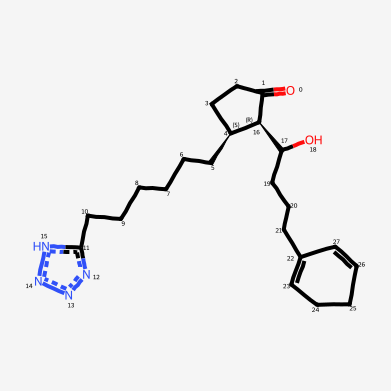 O=C1CC[C@H](CCCCCCc2nnn[nH]2)[C@@H]1C(O)CCCC1=CCCC=C1